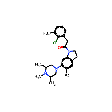 CC(=O)c1cc2c(cc1N1CC(C)N(C)C(C)C1)N(C(=O)Cc1cccc(C(F)(F)F)c1Cl)CC2